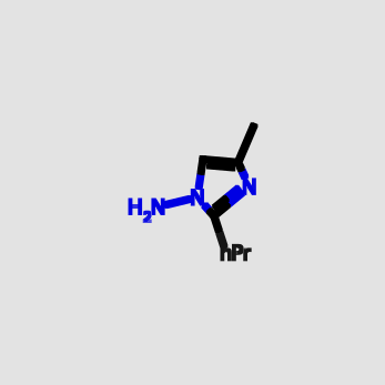 CCCc1nc(C)cn1N